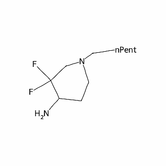 CCCCCCN1CCC(N)C(F)(F)C1